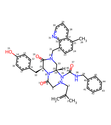 C=C(C)CN1CC(=O)N2[C@@H](Cc3ccc(O)cc3)C(=O)N(Cc3ccc(C)c4cccnc34)C[C@@H]2N1C(=O)NCc1ccccc1